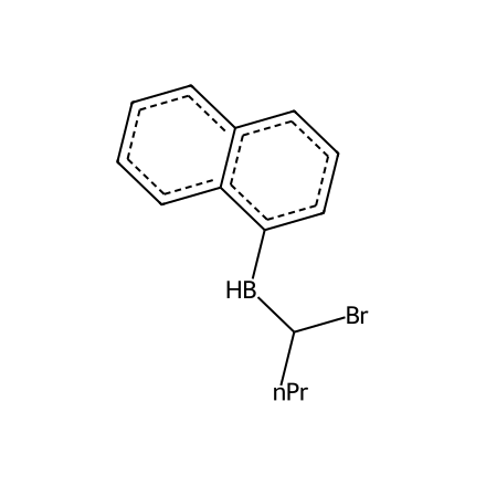 CCCC(Br)Bc1cccc2ccccc12